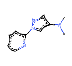 CN(C)c1cnn(-c2ccccn2)c1